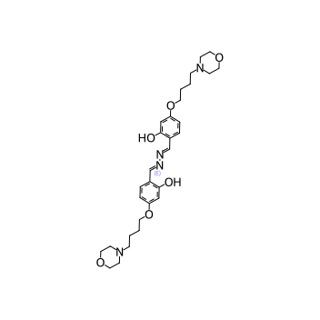 Oc1cc(OCCCCN2CCOCC2)ccc1C=N/N=C/c1ccc(OCCCCN2CCOCC2)cc1O